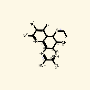 C/C=N\C1C2C(C)=C(C#N)C(C#N)=NC2=C(/N=C(/C#N)C(=N)C#N)C(C(C)C)C1C#N